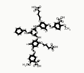 COc1ccc(N=Nc2cc(OCCCS(=O)(=O)O)c(Nc3nc(NCc4ccccc4)nc(Nc4cc(I)c(N=Nc5ccc(OC)c(S(=O)(=O)O)c5)cc4OCCCS(=O)(=O)O)n3)cc2I)cc1S(=O)(=O)O